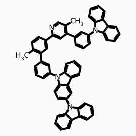 Cc1ccc(-c2cc(-c3cccc(-n4c5ccccc5c5ccccc54)c3)c(C)cn2)cc1-c1cccc(-n2c3ccccc3c3cc(-n4c5ccccc5c5ccccc54)ccc32)c1